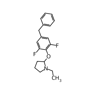 CCN1CCCC1Oc1c(F)cc(Cc2ccccc2)cc1F